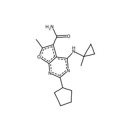 Cc1oc2nc(C3CCCC3)nc(NC3(C)CC3)c2c1C(N)=O